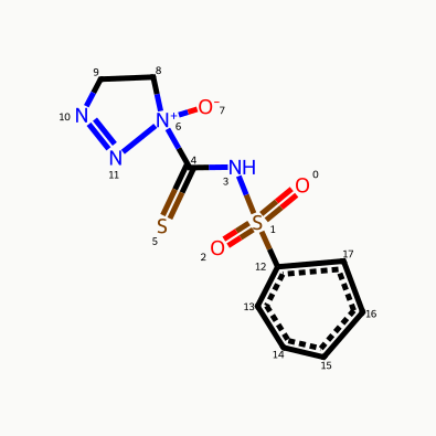 O=S(=O)(NC(=S)[N+]1([O-])CCN=N1)c1ccccc1